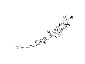 CCCCOCc1ccc2nn(CC(=O)[C@H]3CC[C@H]4[C@@H]5CC[C@H]6C[C@](C)(O)CC[C@]6(C)[C@H]5CC[C@]34C)nc2c1